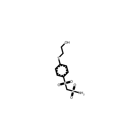 NS(=O)(=O)CS(=O)(=O)c1ccc(SCCO)cc1